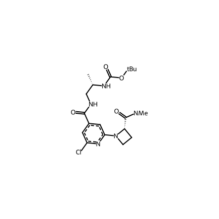 CNC(=O)[C@@H]1CCN1c1cc(C(=O)NC[C@H](C)NC(=O)OC(C)(C)C)cc(Cl)n1